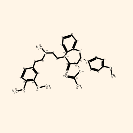 COc1ccc([C@H]2Sc3ccccc3N(CCN(C)CCc3ccc(OC)c(OC)c3)C(=O)[C@H]2OC(C)=O)cc1